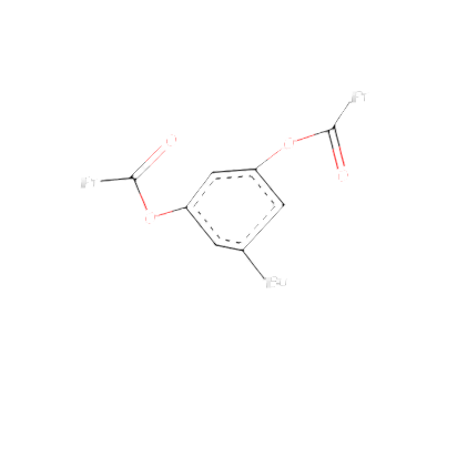 CCC(C)c1cc(OC(=O)C(C)C)cc(OC(=O)C(C)C)c1